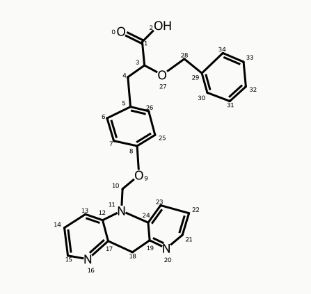 O=C(O)C(Cc1ccc(OCN2c3cccnc3Cc3ncccc32)cc1)OCc1ccccc1